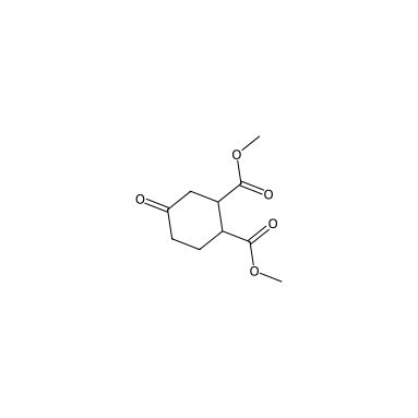 COC(=O)C1CCC(=O)CC1C(=O)OC